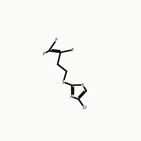 FC(F)=C(F)CCSc1nc(Cl)cs1